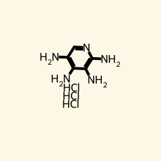 Cl.Cl.Cl.Nc1cnc(N)c(N)c1N